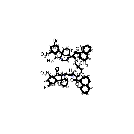 CN1/C(=C/C=C/C2=[N+](CC(C)(C)C[N+]3=C(/C=C/C=C4/N(C)c5c([N+](=O)[O-])cc(Br)cc5C45CCCCC5)C(C)(C)c4c3ccc3ccccc43)c3ccc4ccccc4c3C2(C)C)C2(CCCCC2)c2cc(Br)cc([N+](=O)[O-])c21